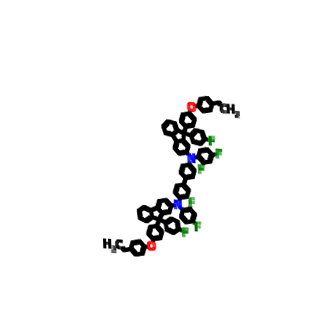 C=Cc1ccc(Oc2ccc(C3(c4ccc(F)cc4)c4ccccc4-c4ccc(N(c5ccc(-c6ccc(N(c7ccc8c(c7)C(c7ccc(F)cc7)(c7ccc(Oc9ccc(C=C)cc9)cc7)c7ccccc7-8)c7ccc(F)cc7F)cc6)cc5)c5ccc(F)cc5F)cc43)cc2)cc1